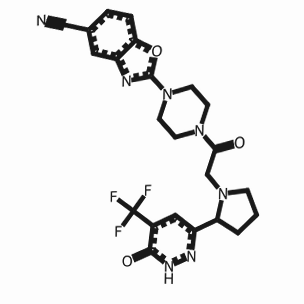 N#Cc1ccc2oc(N3CCN(C(=O)CN4CCCC4c4cc(C(F)(F)F)c(=O)[nH]n4)CC3)nc2c1